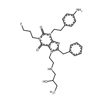 CCC(O)CNCCn1c(Cc2ccccc2)nc2c1c(=O)n(CCCF)c(=O)n2CCc1ccc(N)cc1